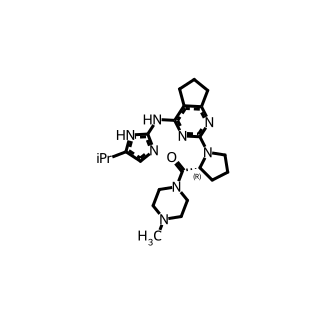 CC(C)c1cnc(Nc2nc(N3CCC[C@@H]3C(=O)N3CCN(C)CC3)nc3c2CCC3)[nH]1